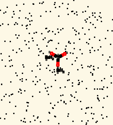 [BaH2].[O]=[Ti](=[O])=[O].[SrH2]